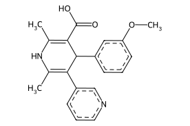 COc1cccc(C2C(C(=O)O)=C(C)NC(C)=C2c2cccnc2)c1